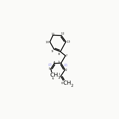 C=C/C=C(\C=C/C)CC1=CCCC=C1